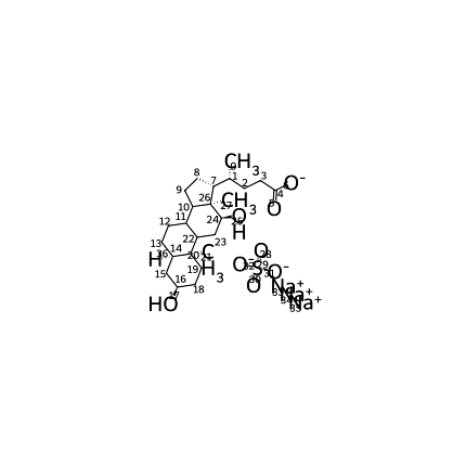 C[C@H](CCC(=O)[O-])[C@H]1CCC2C3CC[C@@H]4C[C@H](O)CC[C@]4(C)C3C[C@H](O)[C@@]21C.O=S(=O)([O-])[O-].[Na+].[Na+].[Na+]